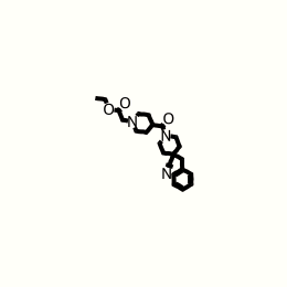 CCOC(=O)CN1CCC(C(=O)N2CCC(C#N)(Cc3ccccc3)CC2)CC1